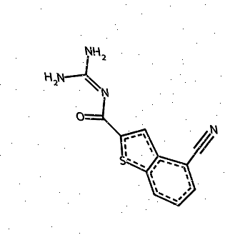 N#Cc1cccc2sc(C(=O)N=C(N)N)cc12